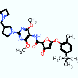 COc1nc(N2CCC(CN3CCC3)C2)nc(OC)c1NC(=O)C1OC(Oc2cc([Si](C)(C)C)ccc2C)=CC1=O